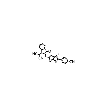 Cn1c(-c2ccc(C#N)cc2)nc2oc(/C=C3\C(=O)c4ccccc4C3=C(C#N)C#N)cc21